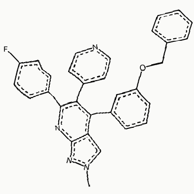 Cn1cc2c(-c3cccc(OCc4ccccc4)c3)c(-c3ccncc3)c(-c3ccc(F)cc3)nc2n1